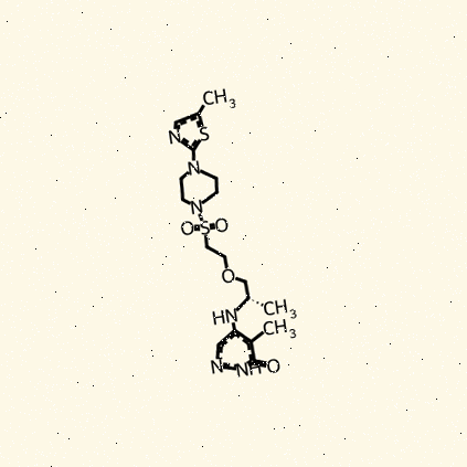 Cc1cnc(N2CCN(S(=O)(=O)CCOC[C@H](C)Nc3cn[nH]c(=O)c3C)CC2)s1